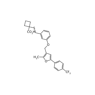 Cc1oc(-c2ccc(C(F)(F)F)cc2)cc1COc1cccc(CSC2(C(=O)O)CCC2)c1